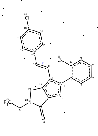 O=C1c2nn(-c3ccccc3Cl)c(/C=C/c3ccc(Cl)cc3)c2CN1CC(F)(F)F